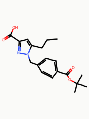 CCCc1cc(C(=O)O)nn1Cc1ccc(C(=O)OC(C)(C)C)cc1